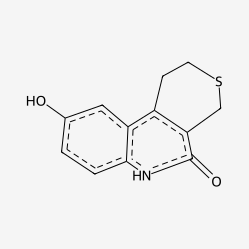 O=c1[nH]c2ccc(O)cc2c2c1CSCC2